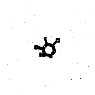 [CH2]c1c(Cl)cn[nH]c1=O